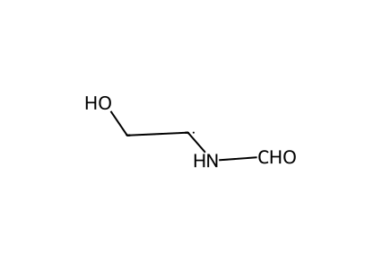 O=CN[CH]CO